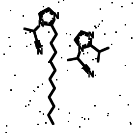 CC(C)c1nccn1C(C)C#N.CCCCCCCCCCCc1nccn1C(C)C#N